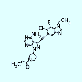 C=CC(=O)N1CCC(n2nc(C#Cc3cc4ncn(CC)c4c(F)c3Cl)c3c(N)ncnc32)C1